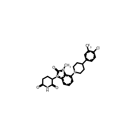 Cn1c(=O)n(C2CCC(=O)NC2=O)c2cccc(N3CCC(c4ccc(Cl)c(C(F)(F)F)c4)CC3)c21